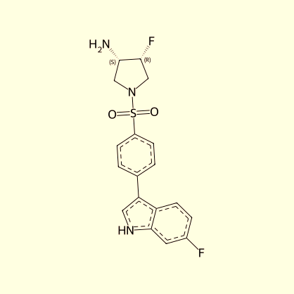 N[C@H]1CN(S(=O)(=O)c2ccc(-c3c[nH]c4cc(F)ccc34)cc2)C[C@H]1F